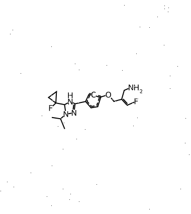 CC(C)N1N=C(c2ccc(OC/C(=C/F)CN)cc2)NC1C1(F)CC1